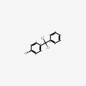 Clc1ccc(C(Cl)(Cl)c2ccccc2)cc1